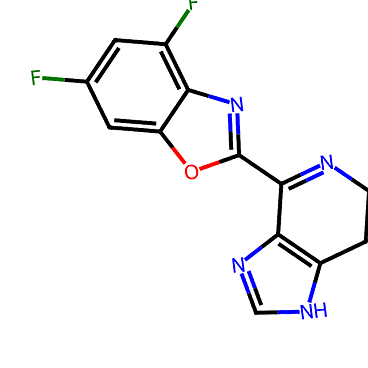 Fc1cc(F)c2nc(C3=NCCc4[nH]cnc43)oc2c1